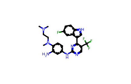 CN(C)CCN(C)c1ccc(Nc2ncc(C(F)(F)F)c(-c3c[nH]c4ccc(F)cc34)n2)cc1N